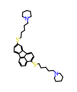 c1cc2c3c(ccc(SCCCCCN4CCCCC4)c3c1)-c1cc(SCCCCCN3CCCCC3)ccc1-2